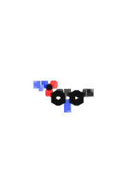 N#Cc1ccc(NC2CCC(OC(N)=O)CC2)c([N+](=O)[O-])c1